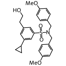 COc1ccc(CN(Cc2ccc(OC)cc2)S(=O)(=O)c2cc(CCO)cc(C3CC3)c2)cc1